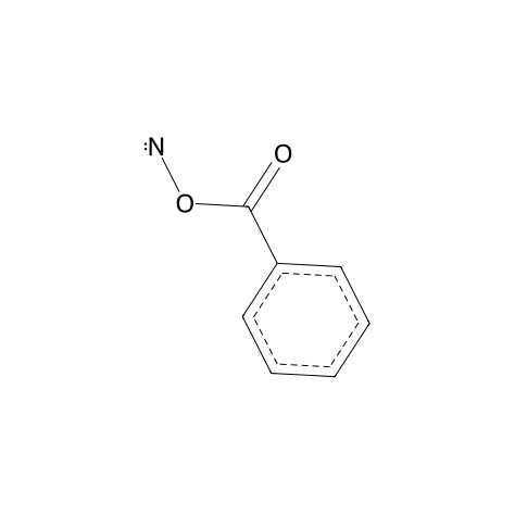 [N]OC(=O)c1ccccc1